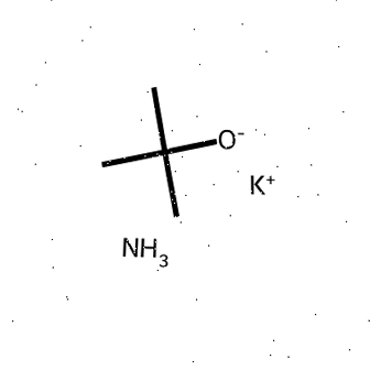 CC(C)(C)[O-].N.[K+]